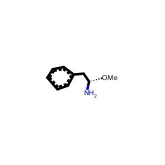 CO[C@H](N)Cc1ccccc1